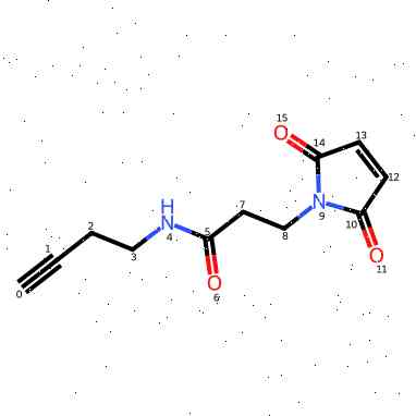 C#CCCNC(=O)CCN1C(=O)C=CC1=O